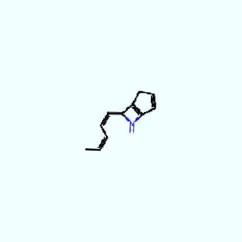 C/C=C\C=C/C1NC2=C1CC=C2